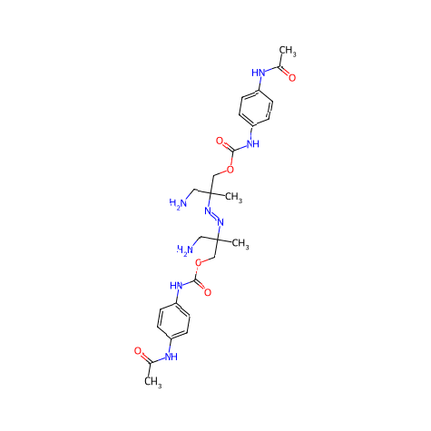 CC(=O)Nc1ccc(NC(=O)OCC(C)(CN)N=NC(C)(CN)COC(=O)Nc2ccc(NC(C)=O)cc2)cc1